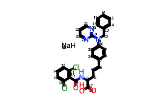 O=C(NC(CC=Cc1ccc(N(Cc2ccccc2)c2ncccn2)cc1)C(=O)O)c1c(Cl)cccc1Cl.[NaH]